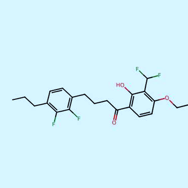 CCCc1ccc(CCCC(=O)c2ccc(OCC)c(C(F)F)c2O)c(F)c1F